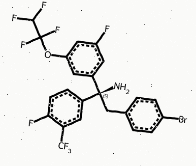 N[C@](Cc1ccc(Br)cc1)(c1cc(F)cc(OC(F)(F)C(F)F)c1)c1ccc(F)c(C(F)(F)F)c1